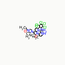 C=CC(=O)N1CCN(c2c(C#N)c(=O)n(C3=C(C)C=CNC3C(C)C)c3nc(-c4c(N)c(Cl)c(Cl)c(Cl)c4Cl)c(Cl)cc23)C[C@H]1C